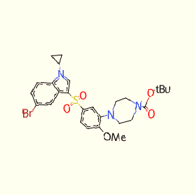 COc1ccc(S(=O)(=O)c2cn(C3CC3)c3ccc(Br)cc23)cc1N1CCN(C(=O)OC(C)(C)C)CC1